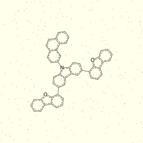 c1ccc2c(c1)ccc1ccc(-n3c4ccc(-c5cccc6c5oc5ccccc56)cc4c4cc(-c5cccc6c5oc5ccccc56)ccc43)cc12